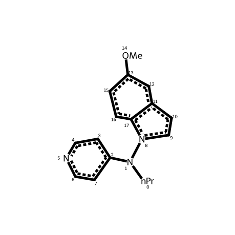 CCCN(c1ccncc1)n1ccc2cc(OC)ccc21